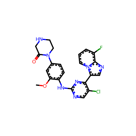 COc1cc(N2CCNCC2=O)ccc1Nc1ncc(Cl)c(-c2cnc3c(F)cccn23)n1